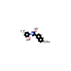 COc1ccc2cc(-c3cn(-c4cc(C(F)(F)F)ccc4OC(C)C)nc3OC(C)C)ccc2c1